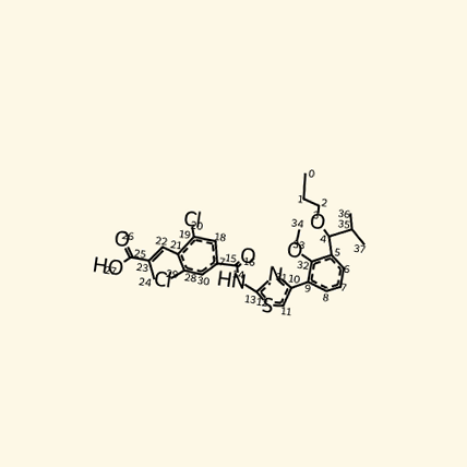 CCCOC(c1cccc(-c2csc(NC(=O)c3cc(Cl)c(C=C(C)C(=O)O)c(Cl)c3)n2)c1OC)C(C)C